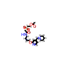 CC(=O)OCCS(=O)(=O)CC(=O)NC/C=C\COc1cc(CN2CCCCC2)ccn1